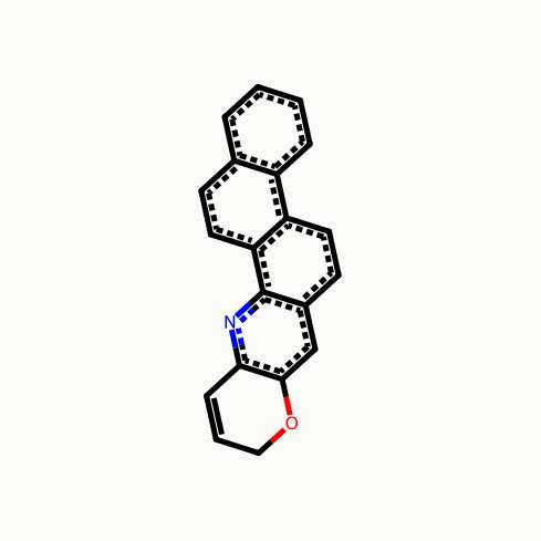 C1=Cc2nc3c(ccc4c5ccccc5ccc43)cc2OC1